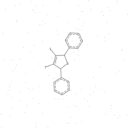 IC1=C(I)C(c2ccccc2)SC1c1ccccc1